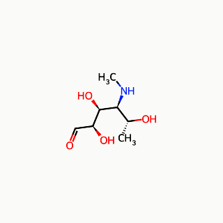 CN[C@H]([C@H](O)[C@@H](O)C=O)[C@@H](C)O